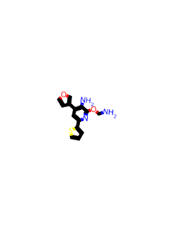 NCOc1nc(-c2cccs2)cc(-c2ccoc2)c1N